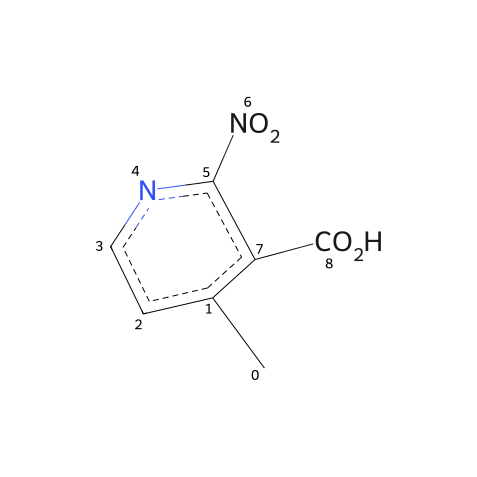 Cc1ccnc([N+](=O)[O-])c1C(=O)O